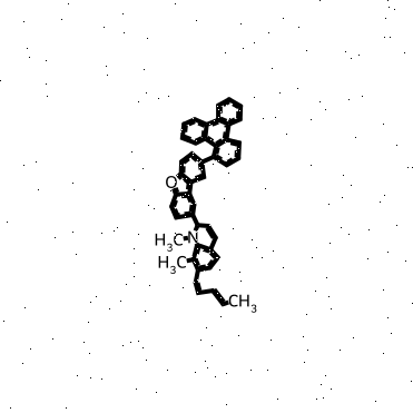 C/C=C/C=C\c1ccc2c(c1C)N(C)C(c1ccc3oc4ccc(-c5cccc6c7ccccc7c7ccccc7c56)cc4c3c1)C=C2